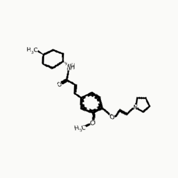 COc1cc(C=CC(=O)N[C@H]2CC[C@H](C)CC2)ccc1OCCN1CCCC1